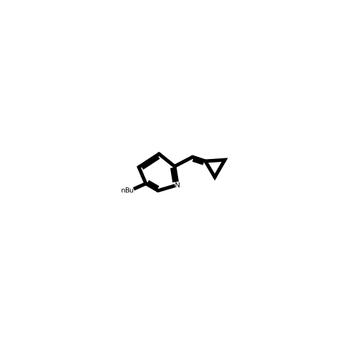 CCCCc1ccc(C=C2CC2)nc1